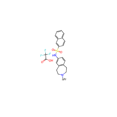 CCCN1CCc2ccc(NS(=O)(=O)c3ccc4ccccc4c3)cc2CC1.O=C(O)C(F)(F)F